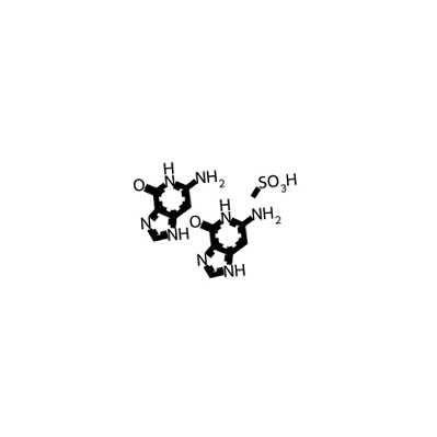 CS(=O)(=O)O.Nc1cc2[nH]cnc2c(=O)[nH]1.Nc1cc2[nH]cnc2c(=O)[nH]1